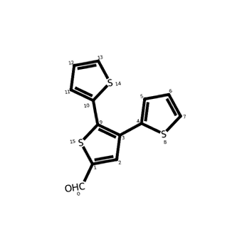 O=Cc1cc(-c2cccs2)c(-c2cccs2)s1